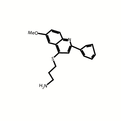 COc1ccc2nc(-c3ccccc3)cc(SCCCN)c2c1